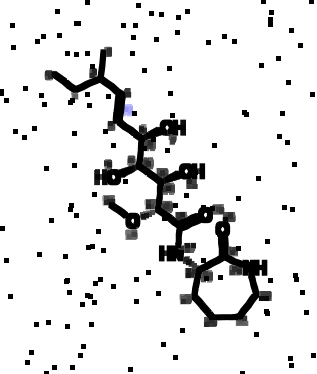 CCC(C)/C=C/[C@@H](O)[C@H](O)[C@@H](O)[C@@H](OC)C(=O)N[C@H]1CCCCNC1=O